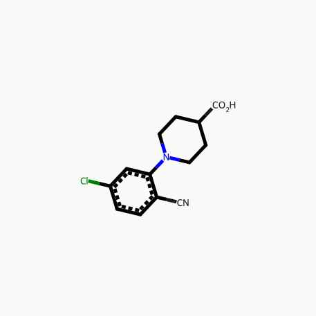 N#Cc1ccc(Cl)cc1N1CCC(C(=O)O)CC1